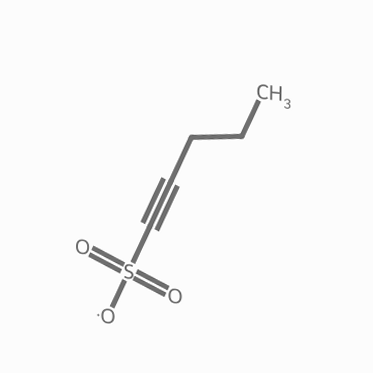 CCCC#CS([O])(=O)=O